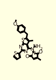 COc1ccc(Cc2sc3nc(-c4cccs4)nc(N(N)N4C(=O)C=C(C)C4=O)c3c2C)cc1